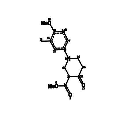 COC(=O)C1CN(c2cnc(OC)c(C)c2)CCC1=O